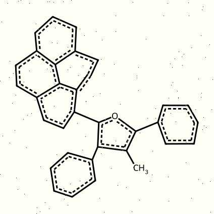 Cc1c(-c2ccccc2)oc(-c2ccc3ccc4cccc5ccc2c3c45)c1-c1ccccc1